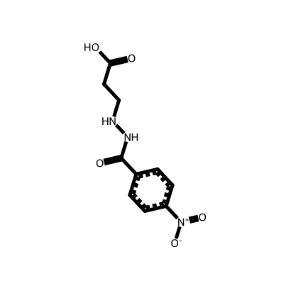 O=C(O)CCNNC(=O)c1ccc([N+](=O)[O-])cc1